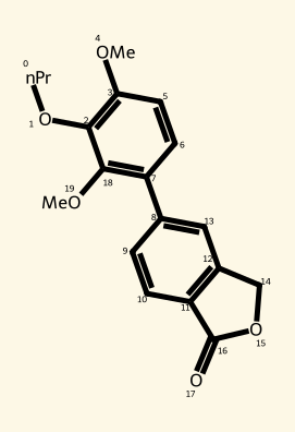 CCCOc1c(OC)ccc(-c2ccc3c(c2)COC3=O)c1OC